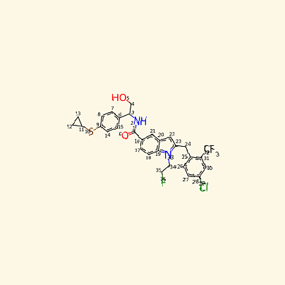 O=C(NC(CO)c1ccc(SC2CC2)cc1)c1ccc2c(c1)cc(Cc1ccc(Cl)cc1C(F)(F)F)n2CCF